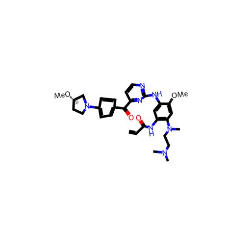 C=CC(=O)Nc1cc(Nc2nccc(C(=O)c3ccc(N4CC[C@H](OC)C4)cc3)n2)c(OC)cc1N(C)CCN(C)C